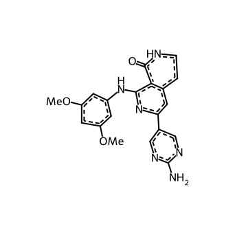 COc1cc(Nc2nc(-c3cnc(N)nc3)cc3cc[nH]c(=O)c23)cc(OC)c1